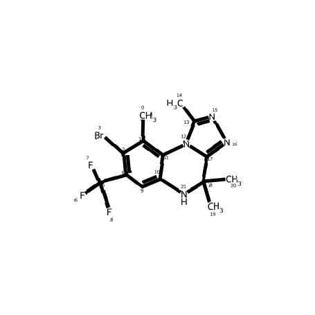 Cc1c(Br)c(C(F)(F)F)cc2c1-n1c(C)nnc1C(C)(C)N2